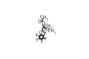 CCC(=O)OCC(C)(COC)CC(=O)Oc1c(F)c(F)c(F)c(F)c1F